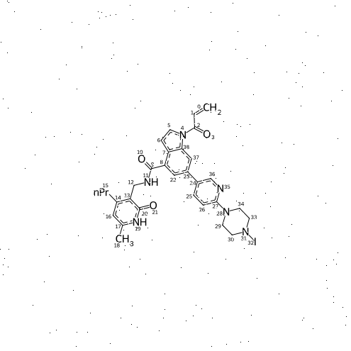 C=CC(=O)n1ccc2c(C(=O)NCc3c(CCC)cc(C)[nH]c3=O)cc(-c3ccc(N4CCN(I)CC4)nc3)cc21